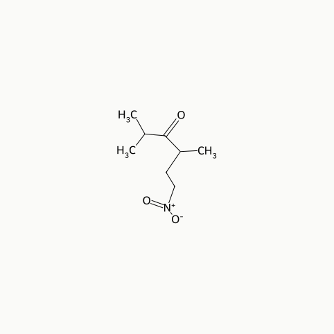 CC(C)C(=O)C(C)CC[N+](=O)[O-]